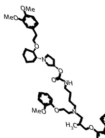 COc1ccc(CCO[C@@H]2CCCC[C@H]2N2CC[C@@H](OC(=O)NCCCCN(CCOc3ccccc3OC)CC(C)COc3cccc4[nH]c5ccccc5c34)C2)cc1OC